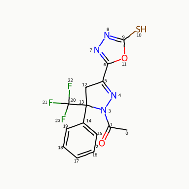 CC(=O)N1N=C(c2nnc(S)o2)CC1(c1ccccc1)C(F)(F)F